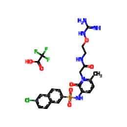 Cc1ccc(NS(=O)(=O)c2ccc3cc(Cl)ccc3c2)c(=O)n1CC(=O)NCCONC(=N)N.O=C(O)C(F)(F)F